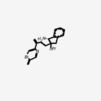 C=C(Br)/C=N\C(=C/C)C(=C)CCC1(CCC)Cc2ccccc2[C@H]1N